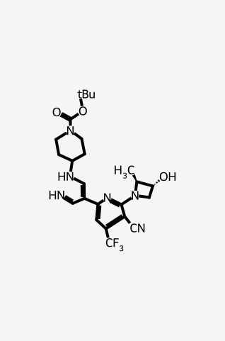 C[C@H]1[C@H](O)CN1c1nc(/C(C=N)=C/NC2CCN(C(=O)OC(C)(C)C)CC2)cc(C(F)(F)F)c1C#N